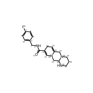 O=C(NCc1ccc(F)cc1)C1=CN2CC3NCCCN3CC2=CC1